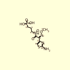 CO/N=C(\C(=O)N(O)CCCP(=O)(O)O)c1csc(N)n1